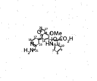 COc1c(C(=O)Nc2ccccc2CC(=O)O)cc(-c2ccnc(CN)c2)c2occc12